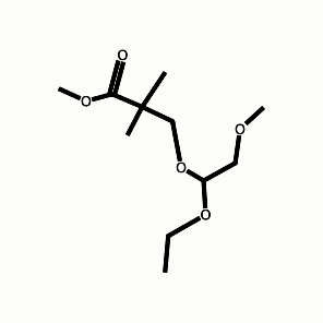 CCOC(COC)OCC(C)(C)C(=O)OC